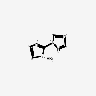 Br.c1csc(-n2cncn2)n1